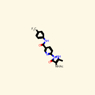 CC(=O)Nc1c(C)[nH]n(-c2ccc(C(=O)Nc3ccc(C(F)(F)F)cc3)cn2)c1=O